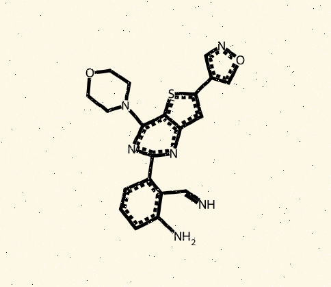 N=Cc1c(N)cccc1-c1nc(N2CCOCC2)c2sc(-c3cnoc3)cc2n1